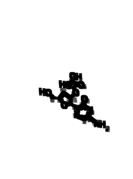 Nc1ccn([C@@H]2O[C@H](CO)C[C@H]2OP(=O)(O)O)c(=O)n1